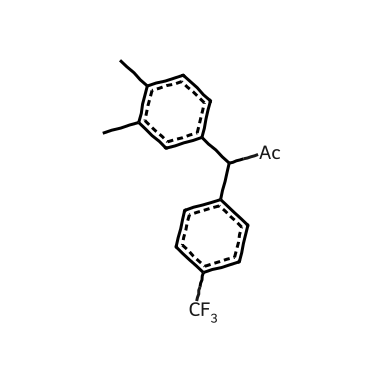 CC(=O)C(c1ccc(C(F)(F)F)cc1)c1ccc(C)c(C)c1